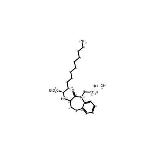 CCOC(=O)[C@@H](CCCCCCCCCN)NC1CSc2ccccc2N(CC(=O)O)C1=O.Cl.Cl